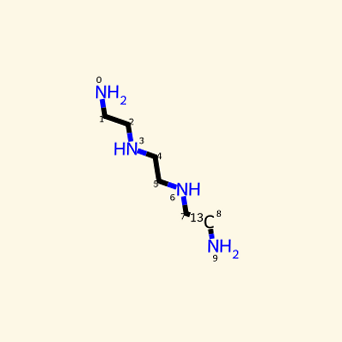 NCCNCCNC[13CH2]N